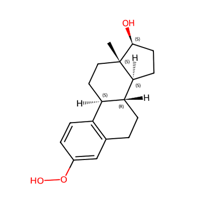 C[C@]12CC[C@@H]3c4ccc(OO)cc4CC[C@H]3[C@@H]1CC[C@@H]2O